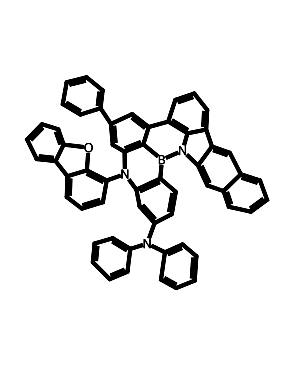 c1ccc(-c2cc3c4c(c2)N(c2cccc5c2oc2ccccc25)c2cc(N(c5ccccc5)c5ccccc5)ccc2B4n2c4cc5ccccc5cc4c4cccc-3c42)cc1